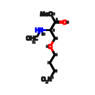 COC(=O)C(COCCC[N+](=O)[O-])NC=O